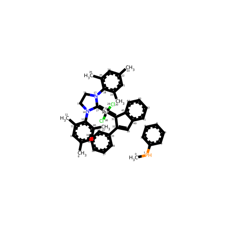 CPc1ccccc1.Cc1cc(C)c(N2CCN(c3c(C)cc(C)cc3C)[C]2=[Ru]([Cl])([Cl])=[C]2C(c3ccccc3)=Cc3ccccc32)c(C)c1